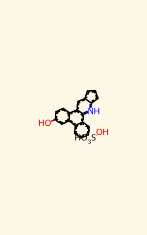 O=S(=O)(O)O.Oc1ccc2c(c1)c1ccccc1c1[nH]c3cccc-3cc21